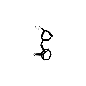 O=C1/C(=C/c2cccc([N+](=O)[O-])c2)N2CCC1CC2